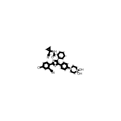 N#Cc1cc(Cl)ccc1-c1nc([C@@H]2CCCC[C@H]2C(=O)NC2(C#N)CC2)c(-c2ccc(N3CCS(O)(O)CC3)cc2)s1